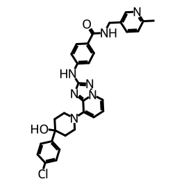 Cc1ccc(CNC(=O)c2ccc(Nc3nc4c(N5CCC(O)(c6ccc(Cl)cc6)CC5)cccn4n3)cc2)cn1